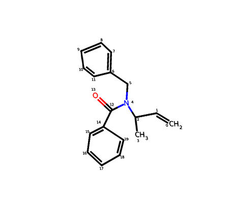 C=CC(C)N(Cc1ccccc1)C(=O)c1ccccc1